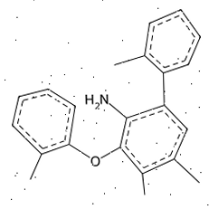 Cc1ccccc1Oc1c(C)c(C)cc(-c2ccccc2C)c1N